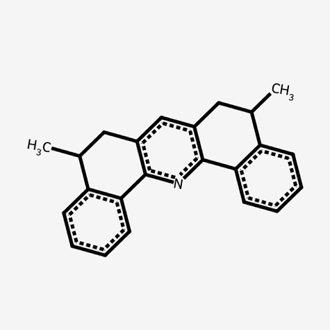 CC1Cc2cc3c(nc2-c2ccccc21)-c1ccccc1C(C)C3